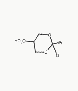 CC(C)C1(Cl)OCC(C(=O)O)CO1